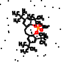 CC(C)(C)c1cc2c(c(C(C)(C)C)c1)OP(=O)([O-])Oc1c(cc(C(C)(C)C)cc1C(C)(C)C)CC2.[Na+]